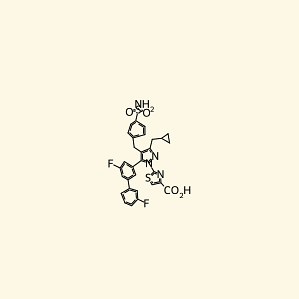 NS(=O)(=O)c1ccc(Cc2c(CC3CC3)nn(-c3nc(C(=O)O)cs3)c2-c2cc(F)cc(-c3cccc(F)c3)c2)cc1